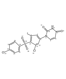 Cc1cc(-n2ccc(=O)[nH]c2=O)cc(Cl)c1S(=O)(=O)c1ccc(Cl)cc1